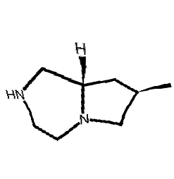 C[C@@H]1C[C@H]2CNCCN2C1